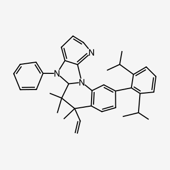 C=CC1(C)c2ccc(-c3c(C(C)C)cccc3C(C)C)cc2N2c3ncccc3N(c3ccccc3)C2C1(C)C